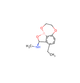 CCc1ccc2c3c1[C@@H](NC)OB3OCCO2